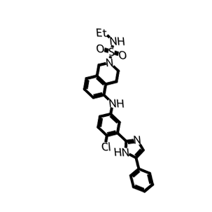 CCNS(=O)(=O)N1CCc2c(cccc2Nc2ccc(Cl)c(-c3ncc(-c4ccccc4)[nH]3)c2)C1